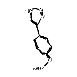 CCCCOc1ccc(-c2c[nH]nn2)cc1